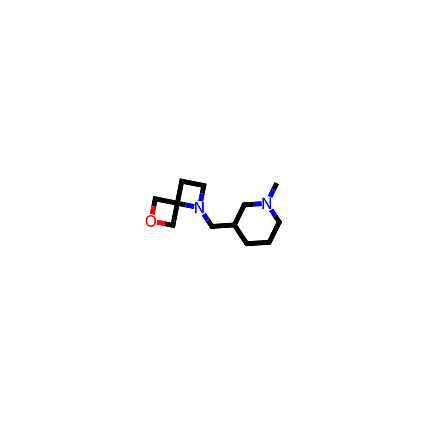 CN1CCCC(CN2CCC23COC3)C1